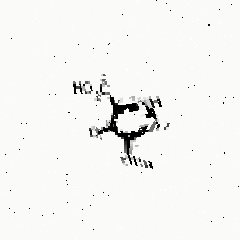 CC(C)(C)c1n[nH]c(C(=O)O)c1Cl